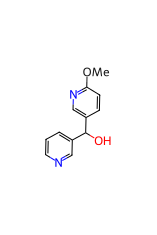 COc1ccc(C(O)c2cccnc2)cn1